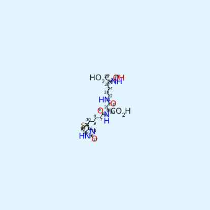 O=C(C[C@@H](NC(=O)CCCC[C@@H]1SCC2NC(=O)N=C21)C(=O)O)NCCCC[C@H](NO)C(=O)O